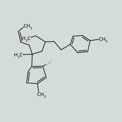 C/C=C\CC(C)(CC(CC)CCc1ccc(C)cc1)c1ccc(C)cc1F